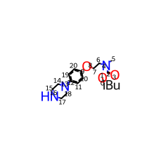 CCC(C)OC(=O)N(C)CCOc1ccc(N2CCNCC2)cc1